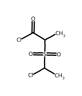 CC(Cl)S(=O)(=O)C(C)C(=O)Cl